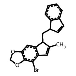 CC1=Cc2c(cc3c(c2Br)OCO3)C1CC1C=Cc2ccccc21